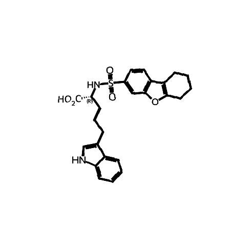 O=C(O)[C@@H](CCCc1c[nH]c2ccccc12)NS(=O)(=O)c1ccc2c3c(oc2c1)CCCC3